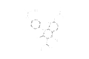 COC(=O)c1c(N)c2ccc(OC(F)F)nc2n(-c2ccc(OC(C)O)cc2)c1=O